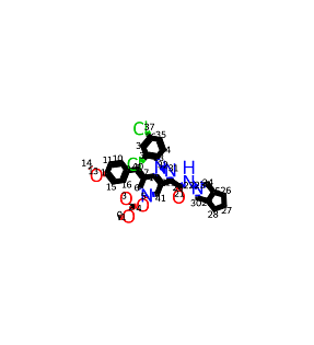 COC(=O)ON1C/C(=C\c2ccc(OC)cc2)c2c(c(C(=O)NN3CC4CCCC4C3)nn2-c2ccc(Cl)cc2Cl)C1